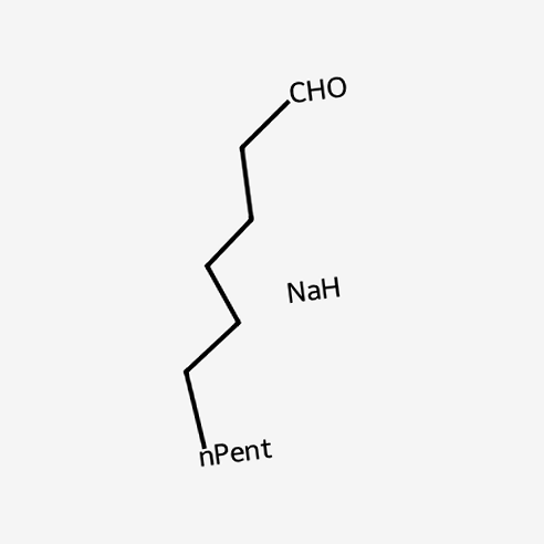 CCCCCCCCCCC=O.[NaH]